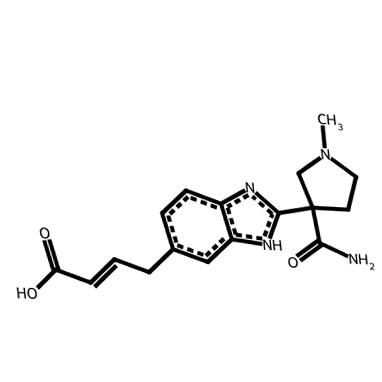 CN1CCC(C(N)=O)(c2nc3ccc(CC=CC(=O)O)cc3[nH]2)C1